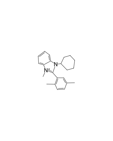 Cc1ccc(C)c(-c2n(C3CCCCC3)c3ccccc3[n+]2C)c1